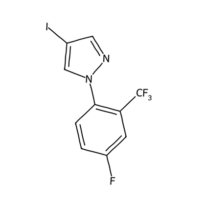 Fc1ccc(-n2cc(I)cn2)c(C(F)(F)F)c1